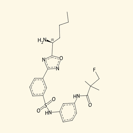 CCCC[C@H](N)c1nc(-c2cccc(S(=O)(=O)Nc3cccc(NC(=O)C(C)(C)CF)c3)c2)no1